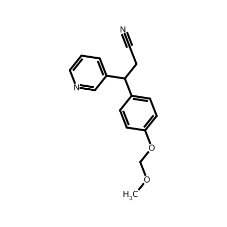 COCOc1ccc(C(CC#N)c2cccnc2)cc1